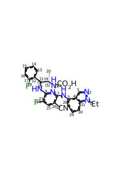 CCn1ncc2c(Nc3nc(N[C@@H](c4ccccc4F)[C@H](C)NC(=O)O)c(F)cc3C#N)cccc21